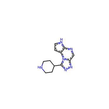 c1cc2c(ncc3nnc(C4CCNCC4)n32)[nH]1